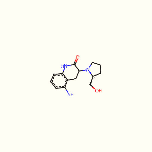 [NH]c1cccc2c1CC(N1CCC[C@H]1CO)C(=O)N2